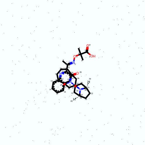 C/C(=N\OC(C)(C)C(=O)O)c1nc2ccccc2n([C@H]2C[C@H]3CC[C@@H](C2)N3C2CC3CCCCC(C3)C2)c1=O